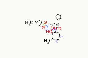 C=C1/C=C\C=C/C[C@H](NC(=O)[C@H](Cc2ccccc2)C[C@H](O)CNS(=O)(=O)c2ccc(CC)cc2)[C@H](O)C1